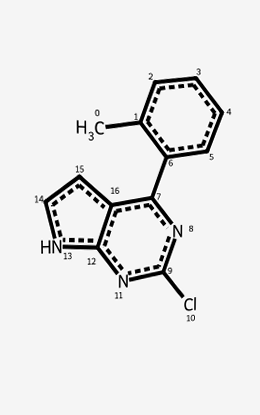 Cc1ccccc1-c1nc(Cl)nc2[nH]ccc12